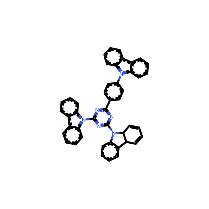 C1=CC2c3ccccc3N(c3nc(-c4ccc(-n5c6ccccc6c6ccccc65)cc4)nc(-n4c5ccccc5c5ccccc54)n3)C2C=C1